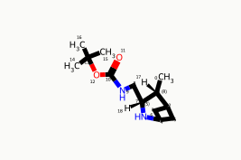 C[C@@H]1C2CC(C2)N[C@@H]1CNC(=O)OC(C)(C)C